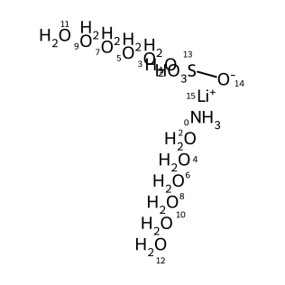 N.O.O.O.O.O.O.O.O.O.O.O.O.O=S(=O)([O-])O.[Li+]